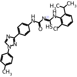 Cc1ccc(-n2cnc(-c3ccc(NC(=O)/N=C(\S)Nc4c(Cl)cccc4C(C)C)cc3)n2)cc1